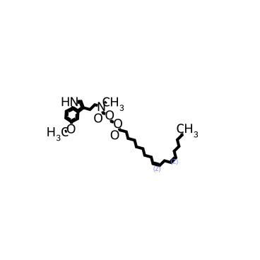 CCCCC/C=C\C/C=C\CCCCCCCC(=O)OCOC(=O)N(C)CCc1c[nH]c2ccc(OC)cc12